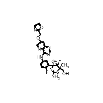 C[C@@]1(CO)SC(N)=N[C@](C)(c2cc(Nc3ncnc4cc(OCc5ncco5)cnc34)ccc2F)C1(F)F